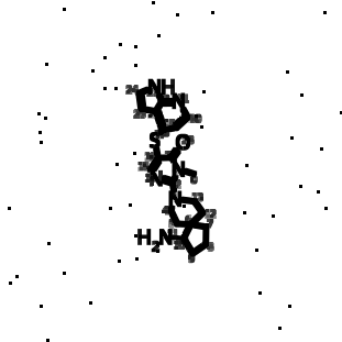 Cn1c(N2CCC3(CCC[C@H]3N)CC2)ncc(Sc2ccnc3[nH]ccc23)c1=O